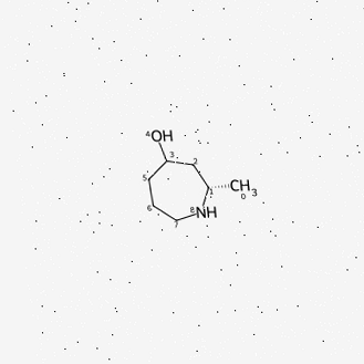 C[C@H]1CC(O)CCCN1